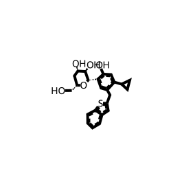 OC[C@@H]1C[C@H](O)[C@@H](O)[C@H](c2cc(Cc3cc4ccccc4s3)c(C3CC3)cc2O)O1